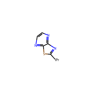 CC(C)c1nc2nccnc2s1